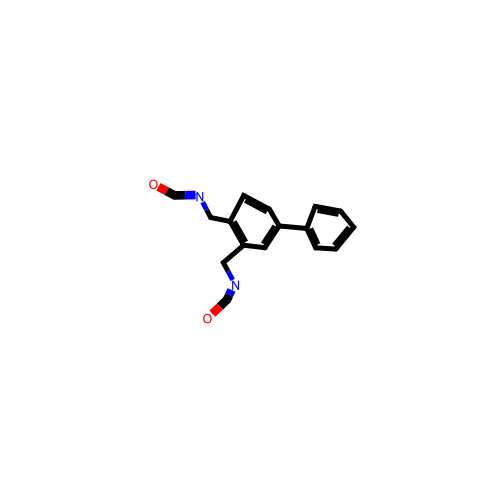 O=C=NCc1ccc(-c2ccccc2)cc1CN=C=O